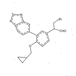 CC(C)CC(C=O)c1ccc(OCC2CC2)c(-c2ccc3nsnc3c2)c1